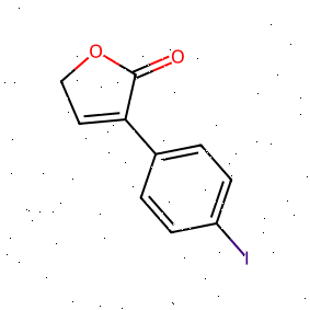 O=C1OCC=C1c1ccc(I)cc1